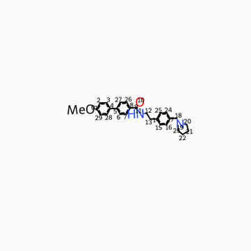 COc1ccc(-c2ccc(C(=O)NCCc3ccc(CN4CCCC4)cc3)cc2)cc1